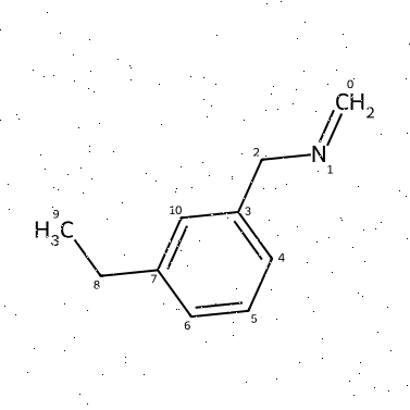 C=NCc1cccc(CC)c1